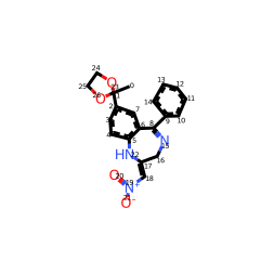 CC1(c2ccc3c(c2)C(c2ccccc2)=NCC(=C[N+](=O)[O-])N3)OCCO1